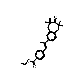 CCOC(=O)c1ccc(/C=C(\C)c2ccc3c(c2)CC(C)(C)C(=O)C(C)(C)C3)cc1